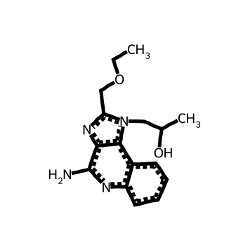 CCOCc1nc2c(N)nc3ccccc3c2n1CC(C)O